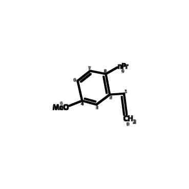 C=Cc1cc(OC)ccc1CCC